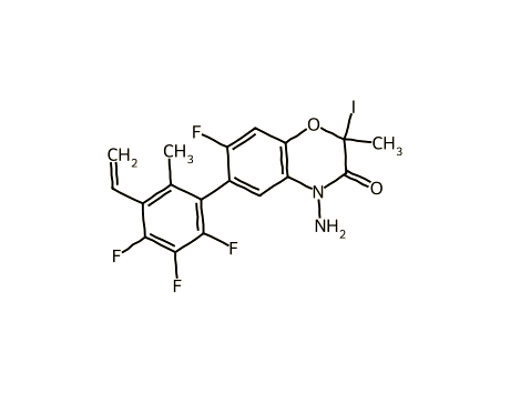 C=Cc1c(C)c(-c2cc3c(cc2F)OC(C)(I)C(=O)N3N)c(F)c(F)c1F